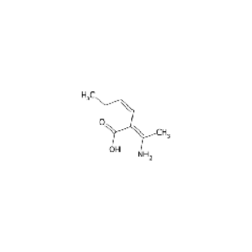 CC/C=C\C(C(=O)O)=C(/C)N